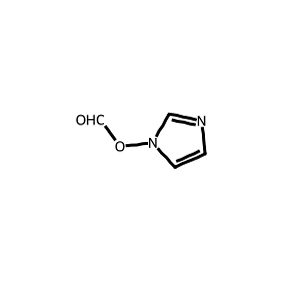 O=COn1ccnc1